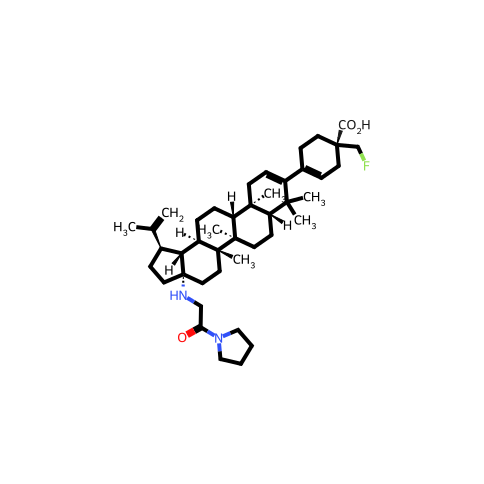 C=C(C)[C@@H]1CC[C@]2(NCC(=O)N3CCCC3)CC[C@]3(C)[C@H](CC[C@@H]4[C@@]5(C)CC=C(C6=CC[C@](CF)(C(=O)O)CC6)C(C)(C)[C@@H]5CC[C@]43C)[C@@H]12